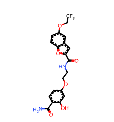 NC(=O)c1ccc(OCCNC(=O)c2cc3cc(OCC(F)(F)F)ccc3o2)cc1O